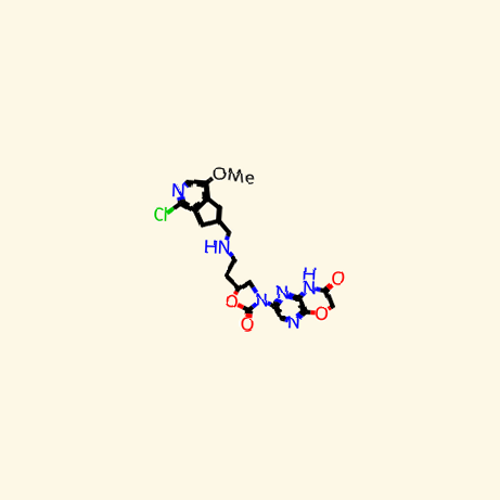 COc1cnc(Cl)c2c1CC(CNCCC1CN(c3cnc4c(n3)NC(=O)CO4)C(=O)O1)C2